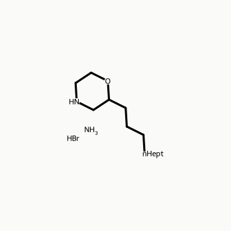 Br.CCCCCCCCCCC1CNCCO1.N